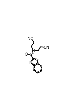 N#CCCN(CCC#N)[S+]([O-])c1nc2ccccc2s1